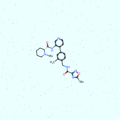 Cc1cc(-c2ccncc2NC(=O)[C@H]2CCCCN2C(C)(C)C)ccc1CNC(=O)c1noc(C(C)(C)C)n1